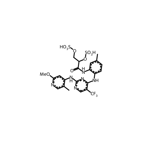 COc1cc(Nc2ncc(C(F)(F)F)c(Nc3ccc(C)cc3NC(=O)C(COS(=O)(=O)O)OS(=O)(=O)O)n2)c(C)cn1